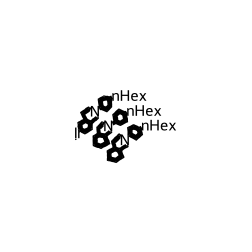 CCCCCCc1ccc(N2C=Cc3ccccc3C2)cc1.CCCCCCc1ccc(N2C=Cc3ccccc3C2)cc1.CCCCCCc1ccc(N2C=Cc3ccccc3C2)cc1.[Ir]